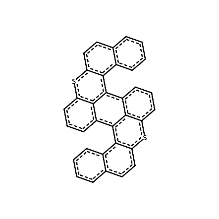 c1ccc2c(c1)ccc1sc3cccc4c3c(c3cccc5sc6ccc7ccccc7c6c4c53)c12